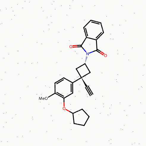 C#C[C@]1(c2ccc(OC)c(OC3CCCC3)c2)C[C@@H](N2C(=O)c3ccccc3C2=O)C1